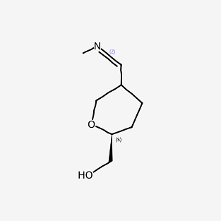 C/N=C\C1CC[C@@H](CO)OC1